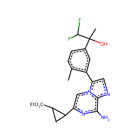 CCOC(=O)C1CC1c1cn2c(-c3cc(C(C)(O)C(F)F)ccc3C)cnc2c(N)n1